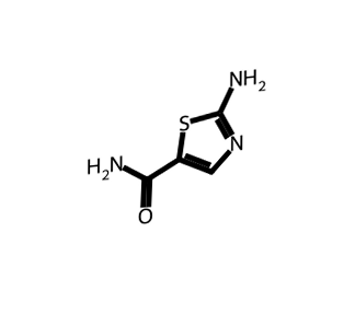 NC(=O)c1cnc(N)s1